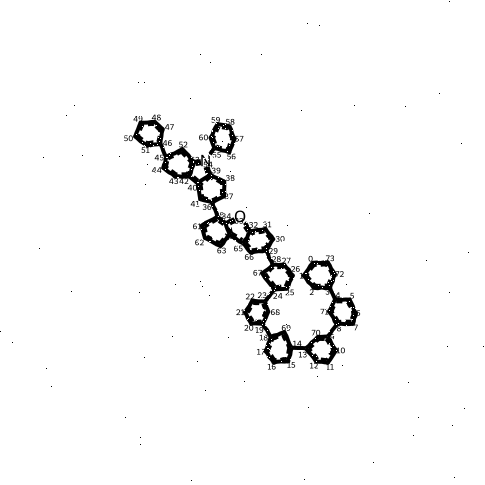 c1ccc(-c2cccc(-c3cccc(-c4cccc(-c5cccc(-c6cccc(-c7ccc8oc9c(-c%10ccc%11c(c%10)c%10ccc(-c%12ccccc%12)cc%10n%11-c%10ccccc%10)cccc9c8c7)c6)c5)c4)c3)c2)cc1